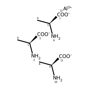 C[C@H](N)C(=O)[O-].C[C@H](N)C(=O)[O-].C[C@H](N)C(=O)[O-].[Al+3]